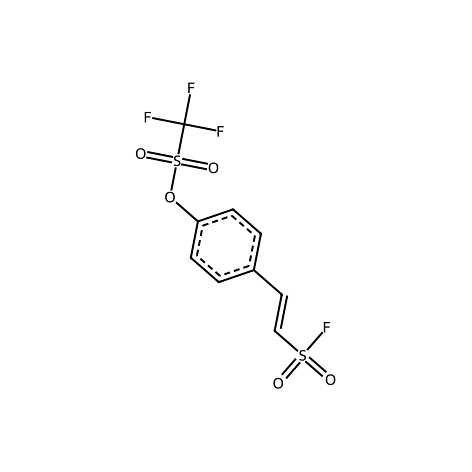 O=S(=O)(F)/C=C/c1ccc(OS(=O)(=O)C(F)(F)F)cc1